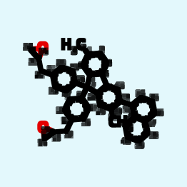 Cc1ccc2c(c1)C(c1ccc(CC3CO3)cc1)(c1ccc(CC3CO3)cc1)c1cc(C)c(-c3cccc4ccccc34)cc1-2